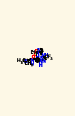 CCS(=O)(=O)Nc1ncccc1CNc1nc(Nc2ccc(C(=O)NCCCN(C)C)cc2)ncc1C(F)(F)F